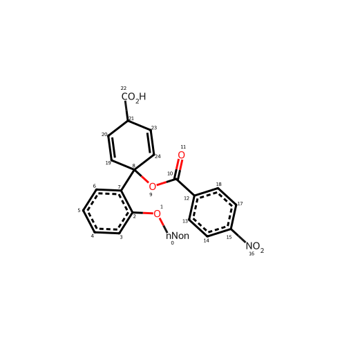 CCCCCCCCCOc1ccccc1C1(OC(=O)c2ccc([N+](=O)[O-])cc2)C=CC(C(=O)O)C=C1